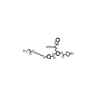 C=CC(=O)OCCCCCCOc1ccc(C(=O)Oc2ccc(OC(=O)C3CCC(CC)CC3)cc2C=NN(CCCCCC)c2nc3ccccc3s2)cc1